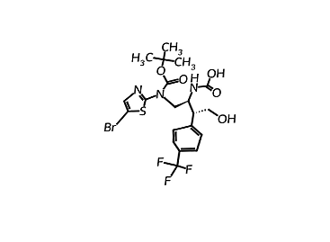 CC(C)(C)OC(=O)N(C[C@@H](NC(=O)O)[C@H](CO)c1ccc(C(F)(F)F)cc1)c1ncc(Br)s1